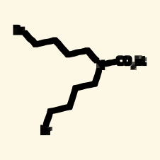 CCOC(=O)N(CCCCBr)CCCCBr